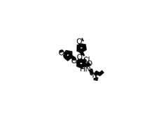 CCCN(CC)CCNC(=O)c1ccc(OCc2ccc(OC)cc2)c(OCc2ccc(OC)cc2)c1Cl